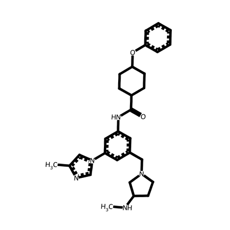 CNC1CCN(Cc2cc(NC(=O)C3CCC(Oc4ccccc4)CC3)cc(-n3cnc(C)c3)c2)C1